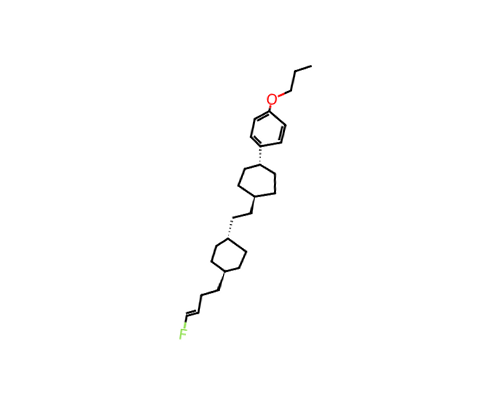 CCCOc1ccc([C@H]2CC[C@H](CC[C@H]3CC[C@H](CCC=CF)CC3)CC2)cc1